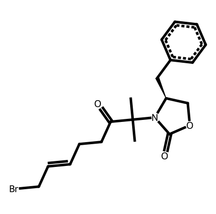 CC(C)(C(=O)CC/C=C/CBr)N1C(=O)OC[C@@H]1Cc1ccccc1